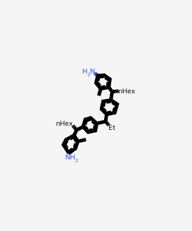 CCCCCCC(c1ccc(C(CC)c2ccc(C(CCCCCC)c3ccc(N)cc3C)cc2)cc1)c1ccc(N)cc1C